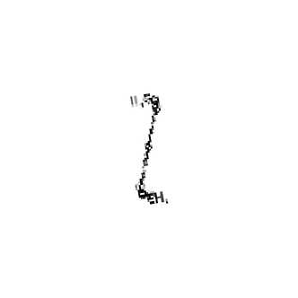 COc1cccc(OCCCCCCCCCCCSSCCCCCCCCCCCOc2cccc(C)c2)c1